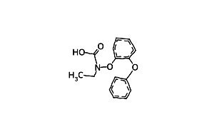 CCN(Oc1ccccc1Oc1ccccc1)C(=O)O